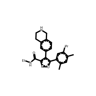 CCNC(=O)c1noc(-c2cc(C(C)C)c(C)cc2C)c1-c1ccc2c(c1)CCNC2